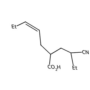 CC/C=C\CC(CC(C#N)CC)C(=O)O